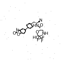 Cn1c(=O)oc2ccc(-c3ccc(C[C@@H](C#N)NC(=O)[C@@H]4CNCC(O)(C(F)(F)F)CO4)cc3)cc21